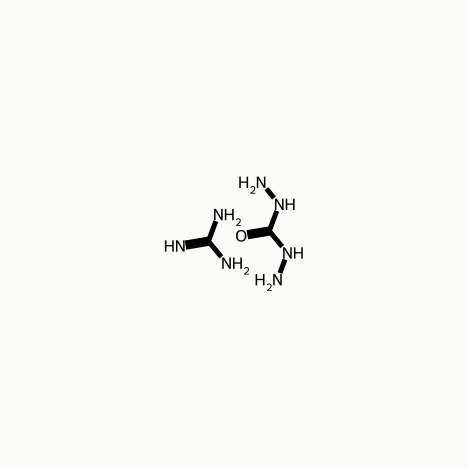 N=C(N)N.NNC(=O)NN